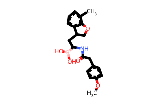 COc1ccc(CC(=O)NC(CC2COc3c(C)cccc32)B(O)O)cc1